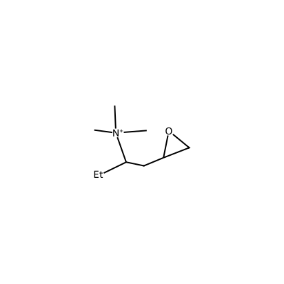 CCC(CC1CO1)[N+](C)(C)C